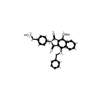 COc1c2c(c(OCc3ccccc3)c3ccccc13)C(=O)N(c1ccc(CC(=O)O)cc1)C2=O